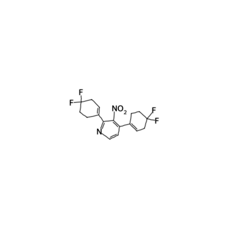 O=[N+]([O-])c1c(C2=CCC(F)(F)CC2)ccnc1C1=CCC(F)(F)CC1